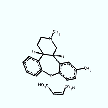 Cc1ccc2c(c1)[C@H]1CN(C)CC[C@H]1c1ccccc1S2.O=C(O)/C=C\C(=O)O